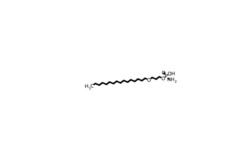 CCCCCCCCCCCCCCCCOCCCOP(N)(=O)O